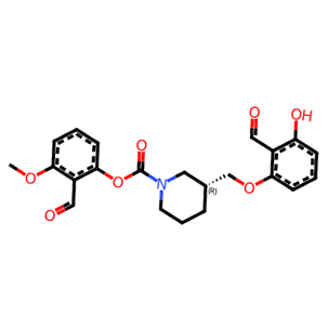 COc1cccc(OC(=O)N2CCC[C@@H](COc3cccc(O)c3C=O)C2)c1C=O